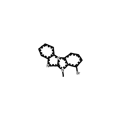 Cn1c2c(Br)cccc2n2c3ccccc3nc12